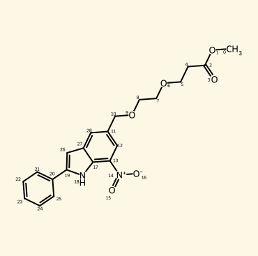 COC(=O)CCOCCOCc1cc([N+](=O)[O-])c2[nH]c(-c3ccccc3)cc2c1